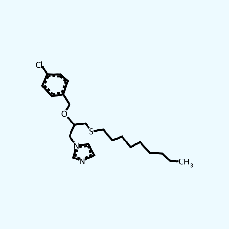 CCCCCCCCCSCC(Cn1ccnc1)OCc1ccc(Cl)cc1